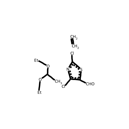 C=C.CCOC(C)OCC.O=Cc1sc(Cl)nc1Cl